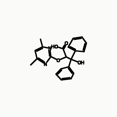 Cc1cc(C)nc(OC(C(=O)O)C(O)(c2ccccc2)c2ccccc2)n1